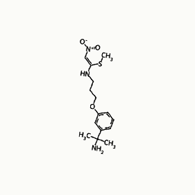 CSC(=C[N+](=O)[O-])NCCCOc1cccc(C(C)(C)N)c1